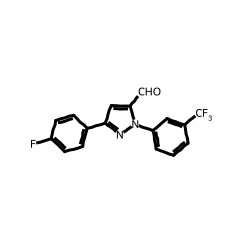 O=Cc1cc(-c2ccc(F)cc2)nn1-c1cccc(C(F)(F)F)c1